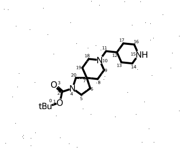 CC(C)(C)OC(=O)N1CCC2(CCN(CC3CCNCC3)CC2)C1